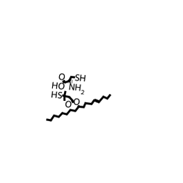 CCCC=CCCCC(CCCCCCCC)OC(=O)CC(C)(C)S.N[C@@H](CS)C(=O)O